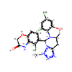 Cn1nnc(CC2COc3cc(F)cc(F)c3N2Cc2ccc3c(c2F)NC(=O)CO3)n1